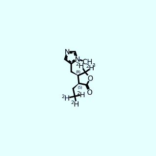 [2H]C([2H])([2H])C[C@@H]1C(=O)OC([2H])([2H])[C@@H]1Cc1cncn1C